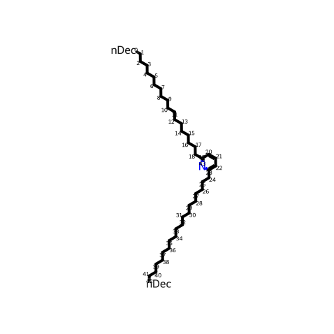 CCCCCCCCCCCCCCCCCCCCCCCCCCCCc1c[c]cc(CCCCCCCCCCCCCCCCCCCCCCCCCCCC)n1